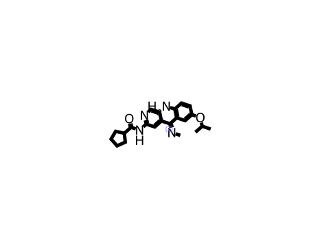 C/N=C(/c1ccnc(NC(=O)C2CCCC2)c1)c1cc(OC(C)C)ccc1N